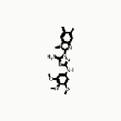 COc1cc(Nc2nc(N)n(-c3nc4cc(C)c(C)cc4n3C)n2)cc(OC)c1OC